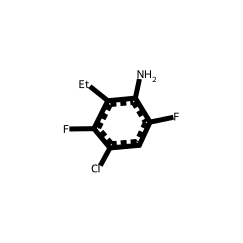 CCc1c(N)c(F)cc(Cl)c1F